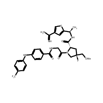 COC[C@@]1(F)C[C@@H](C(=O)N[C@H](C)c2cc(C(=N)N)cs2)N(C(=O)CNC(=O)c2ccc(Nc3ccc(C(F)(F)F)cc3)cc2)C1